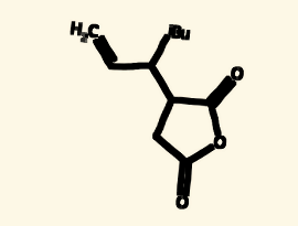 C=CC(C(C)CC)C1CC(=O)OC1=O